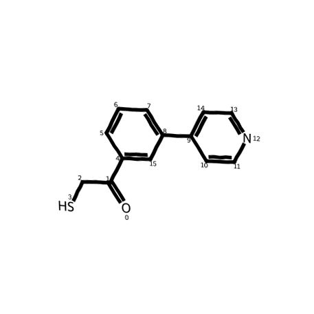 O=C(CS)c1cccc(-c2ccncc2)c1